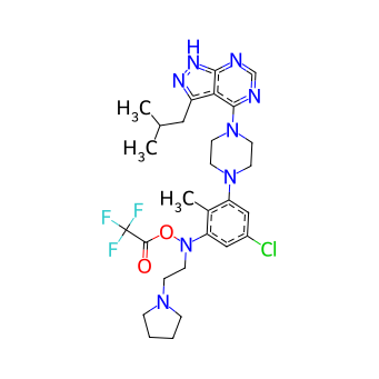 Cc1c(N2CCN(c3ncnc4[nH]nc(CC(C)C)c34)CC2)cc(Cl)cc1N(CCN1CCCC1)OC(=O)C(F)(F)F